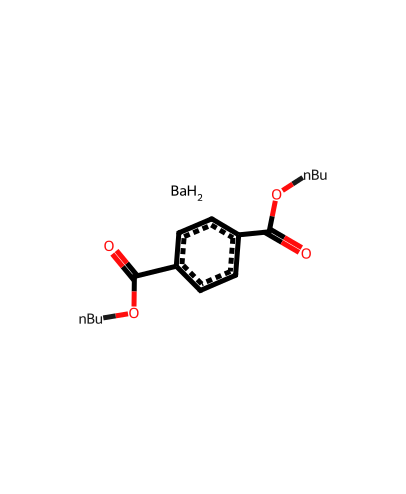 CCCCOC(=O)c1ccc(C(=O)OCCCC)cc1.[BaH2]